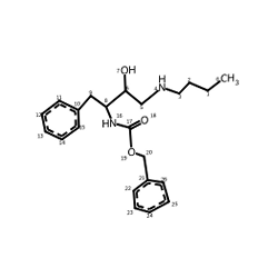 CCCCNCC(O)C(Cc1ccccc1)NC(=O)OCc1ccccc1